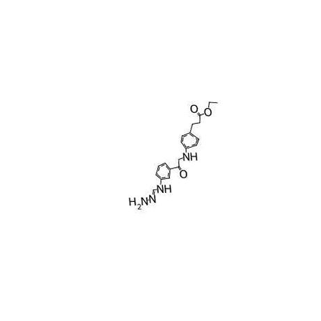 CCOC(=O)CCc1ccc(NCC(=O)c2cccc(NC=NN)c2)cc1